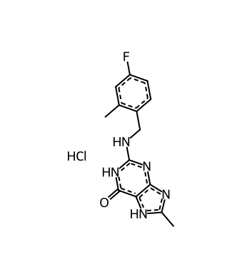 Cc1nc2nc(NCc3ccc(F)cc3C)[nH]c(=O)c2[nH]1.Cl